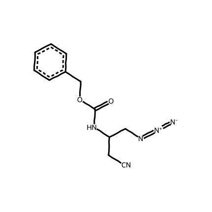 N#CCC(CN=[N+]=[N-])NC(=O)OCc1ccccc1